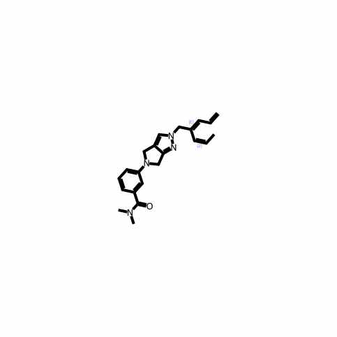 C=C/C=C(\C=C/C)Cn1cc2c(n1)CN(c1cccc(C(=O)N(C)C)c1)C2